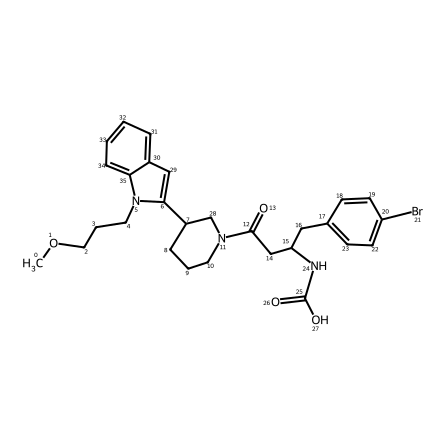 COCCCn1c(C2CCCN(C(=O)CC(Cc3ccc(Br)cc3)NC(=O)O)C2)cc2ccccc21